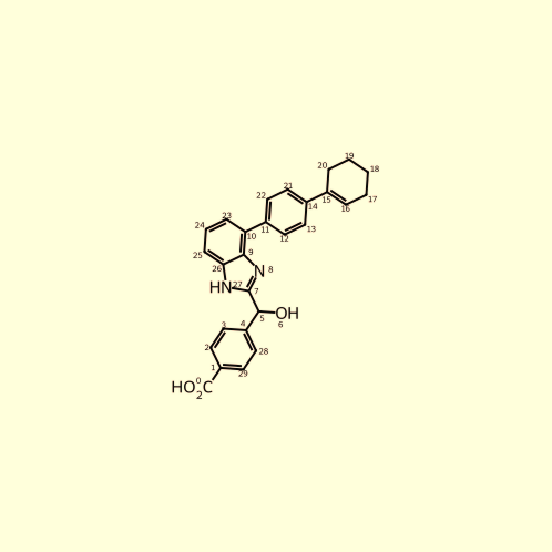 O=C(O)c1ccc(C(O)c2nc3c(-c4ccc(C5=CCCCC5)cc4)cccc3[nH]2)cc1